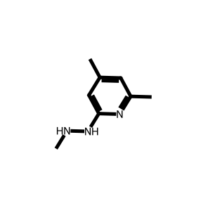 CNNc1cc(C)cc(C)n1